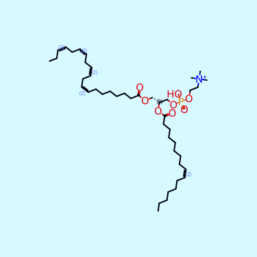 CC/C=C\C/C=C\C/C=C\C/C=C\CCCCCCC(=O)OC[C@H](COP(=O)(O)OCC[N+](C)(C)C)OC(=O)CCCCCCC/C=C\CCCCCC